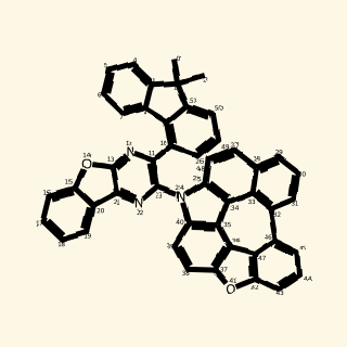 CC1(C)c2ccccc2-c2c(-c3nc4oc5ccccc5c4nc3-n3c4ccc5cccc6c5c4c4c5c(ccc43)oc3cccc-6c35)cccc21